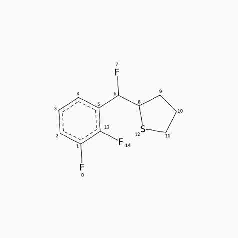 Fc1cccc(C(F)C2CCCS2)c1F